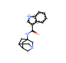 O=C(NC12CC3CN(CC3C1)C2)c1c[nH]c2ccccc12